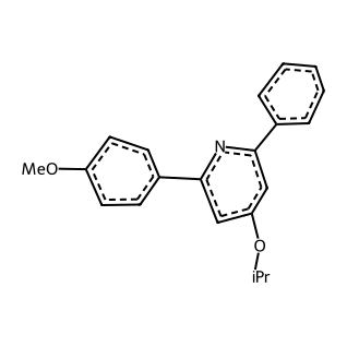 COc1ccc(-c2cc(OC(C)C)cc(-c3ccccc3)n2)cc1